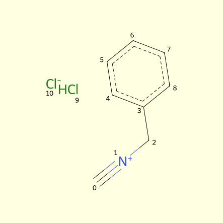 C#[N+]Cc1ccccc1.Cl.[Cl-]